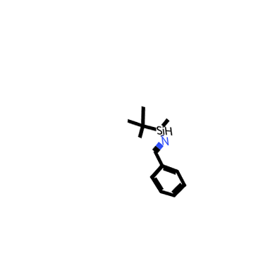 C[SiH](/N=C/c1ccccc1)C(C)(C)C